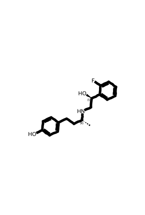 C[C@H](CCc1ccc(O)cc1)NC[C@@H](O)c1ccccc1F